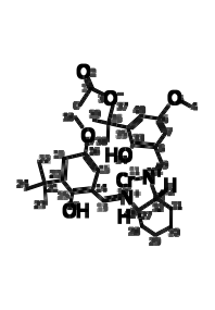 CC(=O)[O-].COc1cc(C=[N+]2[Cr][N+](=Cc3cc(OC)cc(C(C)(C)C)c3O)[C@@H]3CCCC[C@H]32)c(O)c(C(C)(C)C)c1